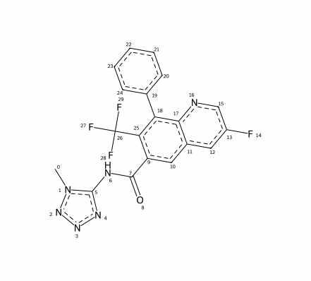 Cn1nnnc1NC(=O)c1cc2cc(F)cnc2c(-c2ccccc2)c1C(F)(F)F